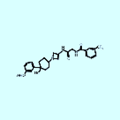 COc1cccc(C2(O)CCC(N3CC(NC(=O)CNC(=O)c4cccc(C(F)(F)F)c4)C3)CC2)c1